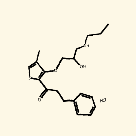 CCCNCC(O)COc1c(C)csc1C(=O)CCc1ccccc1.Cl